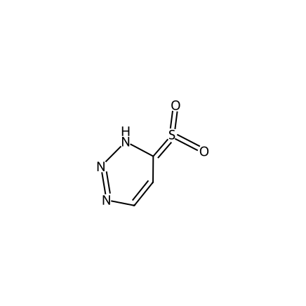 O=S(=O)=c1ccnn[nH]1